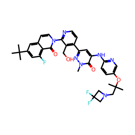 Cn1nc(-c2ccnc(-n3ccc4cc(C(C)(C)C)cc(F)c4c3=O)c2CO)cc(Nc2ccc(OC(C)(C)CN3CC(F)(F)C3)cn2)c1=O